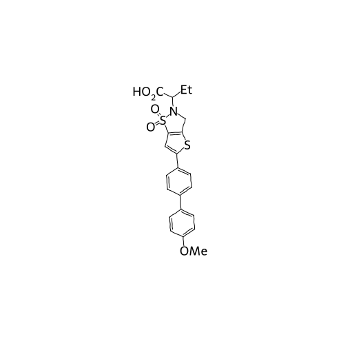 CCC(C(=O)O)N1Cc2sc(-c3ccc(-c4ccc(OC)cc4)cc3)cc2S1(=O)=O